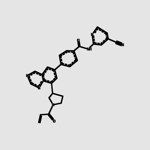 C=CC(=O)N1CCC(c2cc(-c3ccc(C(=O)Nc4cc(C#N)ccn4)cc3)cc3cncnc23)C1